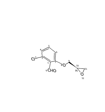 O=Cc1c(Cl)cccc1OC[C@H]1CO1